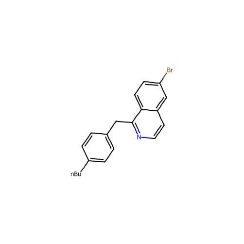 CCCCc1ccc(Cc2nccc3cc(Br)ccc23)cc1